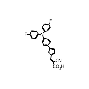 N#C/C(=C\c1ccc(-c2ccc(N(c3ccc(F)cc3)c3ccc(F)cc3)cc2)s1)C(=O)O